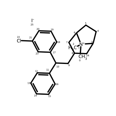 C[N+]1(C)C2CCC1CC(CC(c1ccccc1)c1cccc(Cl)c1)C2.[I-]